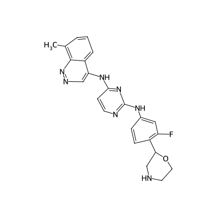 Cc1cccc2c(Nc3ccnc(Nc4ccc(C5CNCCO5)c(F)c4)n3)cnnc12